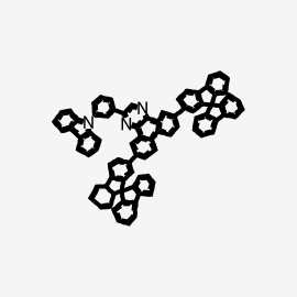 C1=CC2c3ccc(-c4ccc5c6ccc(-c7ccc8c(c7)C7(c9ccccc9-c9ccccc97)c7ccccc7-8)cc6c6ncc(-c7cccc(-n8c9ccccc9c9ccccc98)c7)nc6c5c4)cc3C3(c4ccccc4-c4ccccc43)C2C=C1